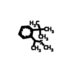 CSC(C)c1ccccc1C(C)(C)C